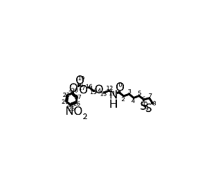 O=C(CCCCC1CCSS1)NCCOCCOC(=O)Oc1ccc([N+](=O)[O-])cc1